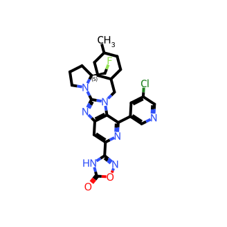 CC1CCC(Cn2c(N3CCC[C@H]3CF)nc3cc(-c4noc(=O)[nH]4)nc(-c4cncc(Cl)c4)c32)CC1